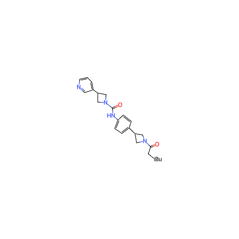 CCC(C)CC(=O)N1CC(c2ccc(NC(=O)N3CC(c4cccnc4)C3)cc2)C1